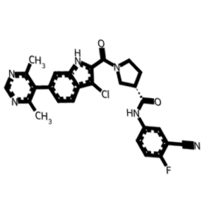 Cc1ncnc(C)c1-c1ccc2c(Cl)c(C(=O)N3CC[C@H](C(=O)Nc4ccc(F)c(C#N)c4)C3)[nH]c2c1